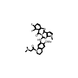 COc1cc2c(cc1Nc1nc3c(ccn3C)c3nc4ccc(F)c(F)c4c(=O)n13)N(C(=O)CN(C)C)CCC2